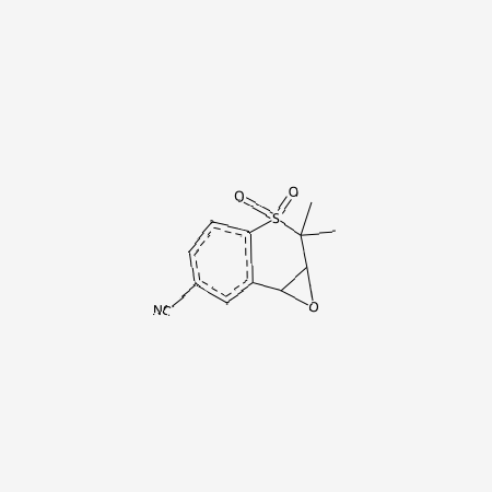 CC1(C)C2OC2c2cc(C#N)ccc2S1(=O)=O